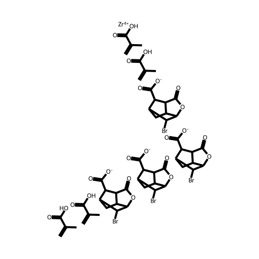 C=C(C)C(=O)O.C=C(C)C(=O)O.C=C(C)C(=O)O.C=C(C)C(=O)O.O=C([O-])C1C2CC3C(OC(=O)C31)C2Br.O=C([O-])C1C2CC3C(OC(=O)C31)C2Br.O=C([O-])C1C2CC3C(OC(=O)C31)C2Br.O=C([O-])C1C2CC3C(OC(=O)C31)C2Br.[Zr+4]